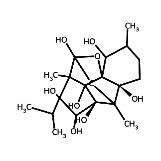 CC1CC[C@@]2(O)C3(OC4(O)CC2(C)[C@]2(O)C(O)C(O)(C(C)C)C4(C)C32O)C1O